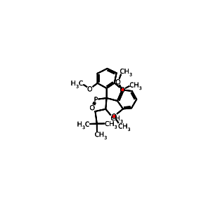 COc1cccc(OC)c1C(P=O)(c1c(OC)cccc1OC)C(C)CC(C)(C)C